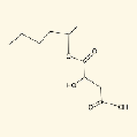 CCCCC(C)OC(=O)C(O)CC(=O)O